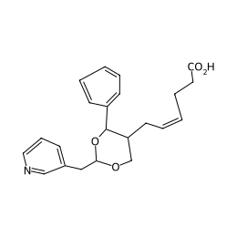 O=C(O)CC/C=C\CC1COC(Cc2cccnc2)OC1c1ccccc1